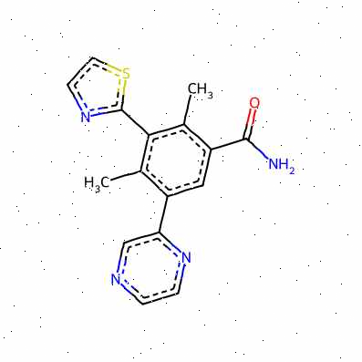 Cc1c(C(N)=O)cc(-c2cnccn2)c(C)c1-c1nccs1